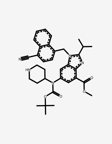 COC(=O)c1cc(N(C(=O)OC(C)(C)C)C2CCNCC2)cc2c1nc(C(C)C)n2Cc1ccc(C#N)c2ccccc12